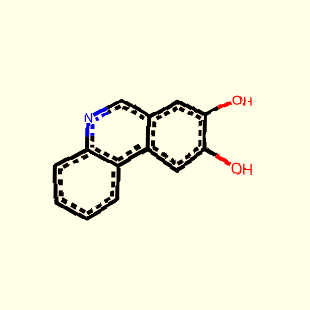 Oc1cc2cnc3ccccc3c2cc1O